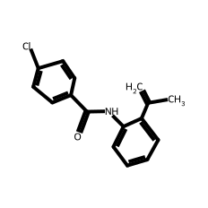 C=C(C)c1ccccc1NC(=O)c1ccc(Cl)cc1